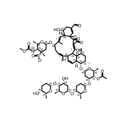 COC(=O)N[C@H]1[C@@H](C)O[C@@H](O[C@H]2C/C=C(/C)[C@@H]3C=C[C@@H]4[C@@H](O[C@H]5C[C@@H](O[C@H]6CC[C@@H](O[C@H]7C[C@@H](O)[C@@H](O[C@H]8CC[C@@H](O)[C@H](C)O8)[C@H](C)O7)[C@H](C)O6)[C@@H](OC(C)=O)[C@H](C)O5)[C@@H](C)C[C@H](C)[C@H]4[C@]3(C)/C(O)=C3\C(=O)OC4(C=C(C=O)C[C@H](O)[C@H]4/C=C/2C)C3=O)C[C@]1(C)[N+](=O)[O-]